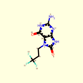 Nc1nc2[nH]c(=O)n(CCC(F)(F)F)c2c(=O)[nH]1